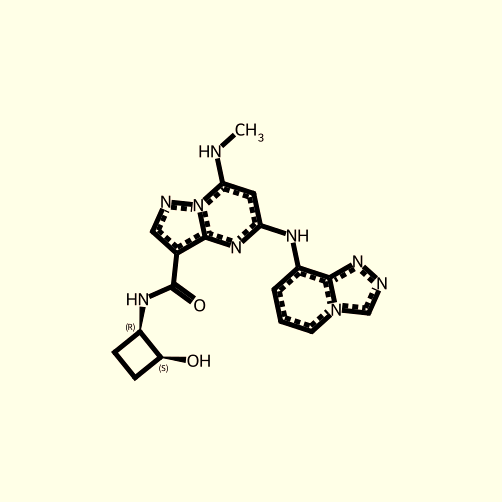 CNc1cc(Nc2cccn3cnnc23)nc2c(C(=O)N[C@@H]3CC[C@@H]3O)cnn12